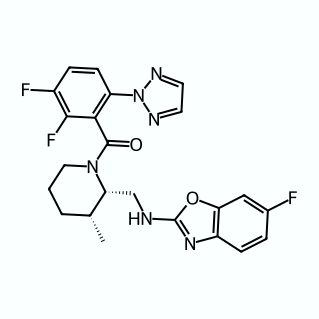 C[C@@H]1CCCN(C(=O)c2c(-n3nccn3)ccc(F)c2F)[C@@H]1CNc1nc2ccc(F)cc2o1